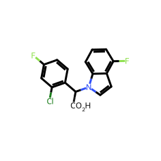 O=C(O)C(c1ccc(F)cc1Cl)n1ccc2c(F)cccc21